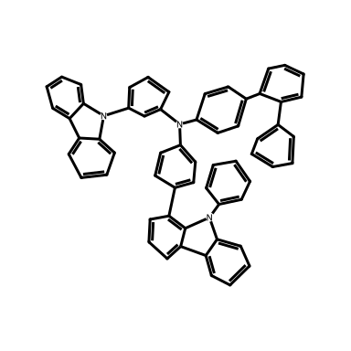 c1ccc(-c2ccccc2-c2ccc(N(c3ccc(-c4cccc5c6ccccc6n(-c6ccccc6)c45)cc3)c3cccc(-n4c5ccccc5c5ccccc54)c3)cc2)cc1